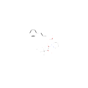 CCC(C)(C)C(=O)C(=O)N1CCC[C@H]1C(=O)OC/C=C/c1ccccc1